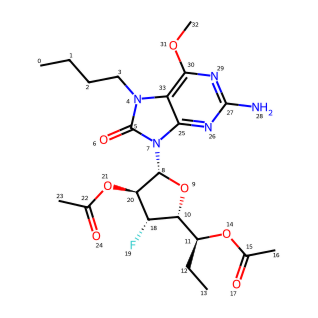 CCCCn1c(=O)n([C@@H]2O[C@H]([C@H](CC)OC(C)=O)[C@H](F)[C@H]2OC(C)=O)c2nc(N)nc(OC)c21